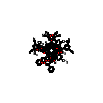 Cc1nc(C)nc(-c2ccc3c4ccccc4n(-c4cc(-c5nc(C)nc(C)n5)c(C#N)cc4-n4c5ccccc5c5ccc(-c6nc(C)nc(-c7c(C#N)cc(C#N)cc7-c7ccc8c(c7)c7cc(-c9cc(C#N)cc(C#N)c9)ccc7n8-c7cc(-c8nc(-c9ccccc9)nc(-c9ccccc9)n8)c(C#N)cc7-n7c8ccc(-c9cc(C#N)cc(C#N)c9)cc8c8cc(-c9cc(C#N)cc(C#N)c9)ccc87)n6)cc54)c3c2)n1